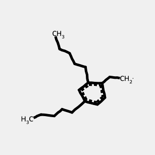 [CH2]Cc1ccc(CCCCC)cc1CCCCC